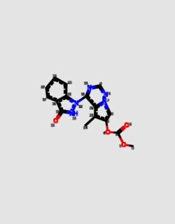 COC(=O)Oc1cn2ncnc(-n3[nH]c(=O)c4ccccc43)c2c1C